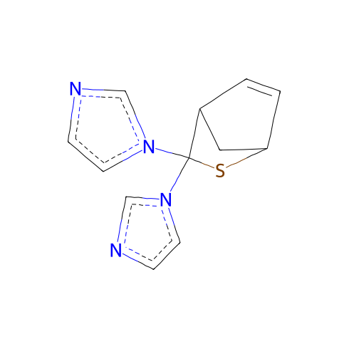 C1=CC2CC1SC2(n1ccnc1)n1ccnc1